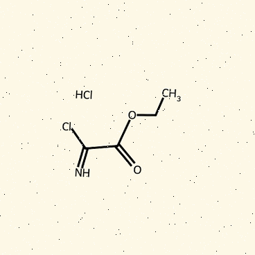 CCOC(=O)C(=N)Cl.Cl